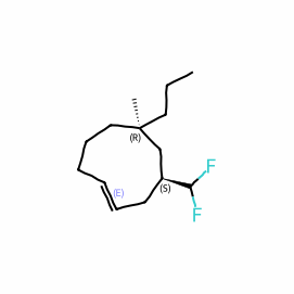 CCC[C@]1(C)CCC/C=C/C[C@H](C(F)F)C1